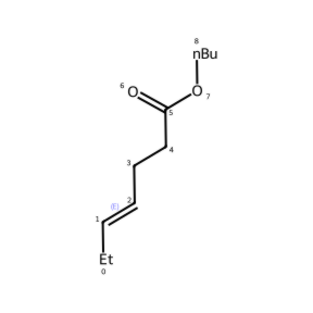 CC/C=C/CCC(=O)OCCCC